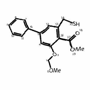 COCOc1cc(-c2ccccc2)cc(CS)c1C(=O)OC